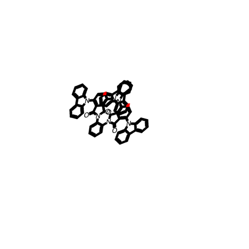 O=C1c2c(-n3c4ccccc4c4ccccc43)ccc(-n3c4ccccc4c4ccccc43)c2C(=O)N1c1ccccc1N1C(=O)c2c(-n3c4ccccc4c4ccccc43)ccc(-n3c4ccccc4c4ccccc43)c2C1=O